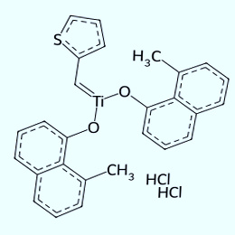 Cc1cccc2cccc([O][Ti](=[CH]c3cccs3)[O]c3cccc4cccc(C)c34)c12.Cl.Cl